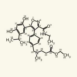 CCNC(=O)c1noc(-c2cc(C(C)C)c(O)cc2O)c1-c1ccc(CN(C)CCC(=O)OCC)cc1